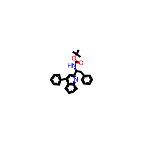 CC(C)(C)OC(=O)NC(Cc1ccccc1)c1cc(-c2ccccc2)c2ccccc2n1